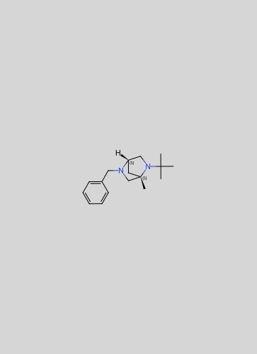 CC(C)(C)N1C[C@@H]2C[C@@]1(C)CN2Cc1ccccc1